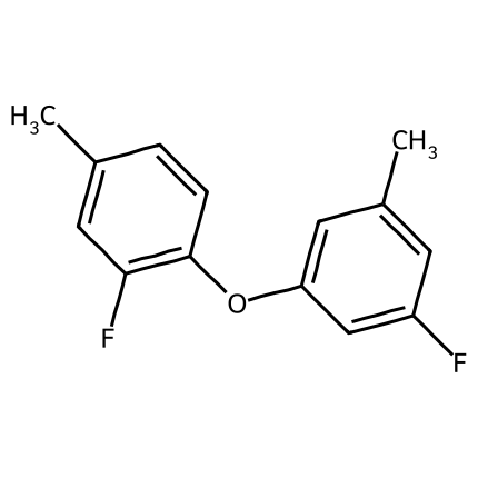 Cc1cc(F)cc(Oc2ccc(C)cc2F)c1